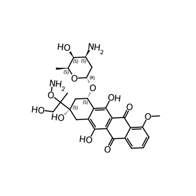 COc1cccc2c1C(=O)c1c(O)c3c(c(O)c1C2=O)C[C@@](O)(C(C)(CO)ON)C[C@@H]3O[C@H]1C[C@H](N)[C@H](O)[C@H](C)O1